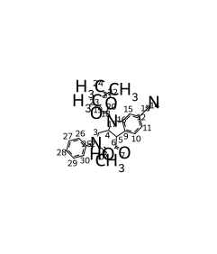 CCN(CC1C(C(=O)O)c2ccc(C#N)cc2N1C(=O)OC(C)(C)C)c1ccccc1